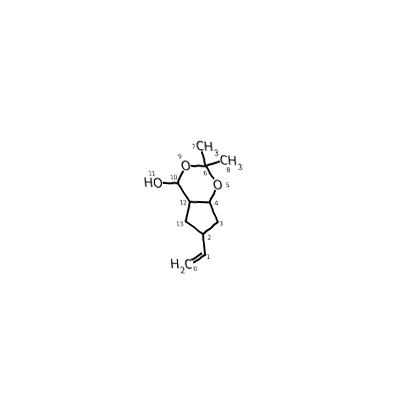 C=CC1CC2OC(C)(C)OC(O)C2C1